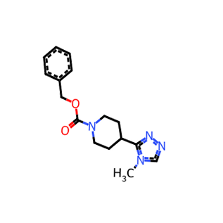 Cn1cnnc1C1CCN(C(=O)OCc2ccccc2)CC1